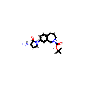 CC(C)(C)OC(=O)N1CCCc2ccc(N3CC[C@H](N)C3=O)cc2C1